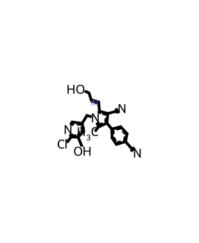 Cc1c(-c2ccc(C#N)cc2)c(C#N)c(/C=C/CO)n1Cc1cnc(Cl)c(CO)c1